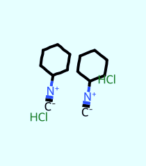 Cl.Cl.[C-]#[N+]C1CCCCC1.[C-]#[N+]C1CCCCC1